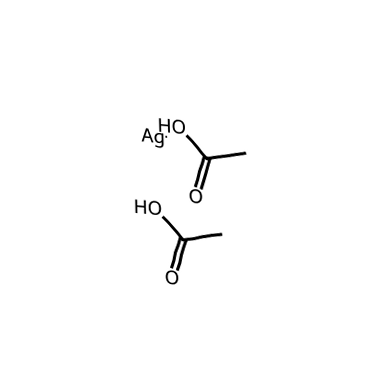 CC(=O)O.CC(=O)O.[Ag]